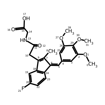 COc1cc(C=C2C(C)=C(CC(=O)NCC(=O)O)c3cc(F)ccc32)cc(OC)c1OC